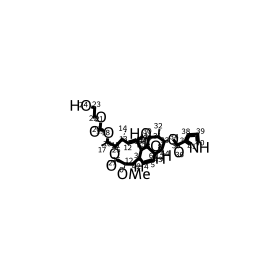 CO[C@H]1C[C@H]2C=C[C@H]3[C@H]4O[C@]2(/C(C)=C/[C@@H](C)[C@@H]([C@@H](C)OC(=O)OCCO)OC1=O)[C@@H]3[C@H](O)[C@@H](C)[C@H]4OC(=O)c1ccc[nH]1